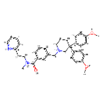 COc1ccc(C2(c3ccc(OC)cc3)CCCN(Cc3cccc(C(=O)N(C)CCc4ccccn4)c3)C2)cc1